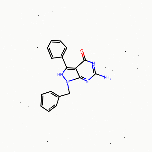 Nc1nc2n(Cc3ccccc3)[nH]c(-c3ccccc3)c-2c(=O)n1